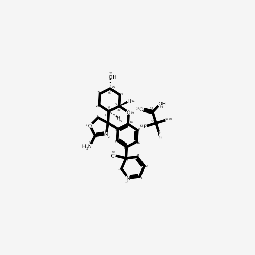 NC1=NC2(CO1)c1cc(C3(Cl)C=CC=NC3)ccc1O[C@H]1C[C@@H](O)CC[C@@H]12.O=C(O)C(F)(F)F